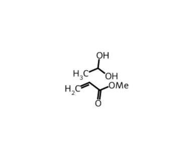 C=CC(=O)OC.CC(O)O